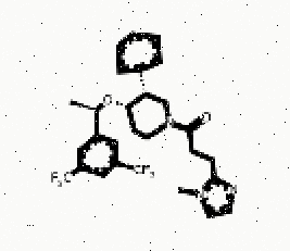 C[C@@H](O[C@H]1CCN(C(=O)CCc2nccn2C)C[C@H]1c1ccccc1)c1cc(C(F)(F)F)cc(C(F)(F)F)c1